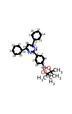 CC1(C)OB(c2ccc(-c3nc(-c4ccccc4)cc(-c4ccccc4)n3)cc2)OC1(C)C